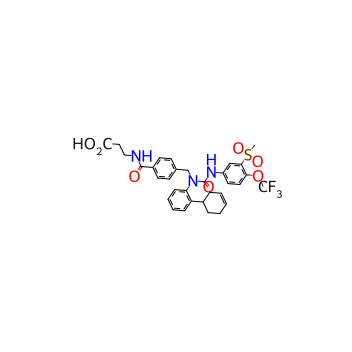 CS(=O)(=O)c1cc(NC(=O)N(Cc2ccc(C(=O)NCCC(=O)O)cc2)c2ccccc2C2CC=CCC2)ccc1OC(F)(F)F